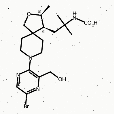 C[C@@H]1OCC2(CCN(c3ncc(Br)nc3CO)CC2)[C@@H]1CC(C)(C)NC(=O)O